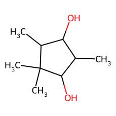 CC1C(O)C(C)C(C)(C)C1O